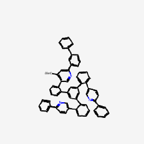 COc1cc(-c2cccc(-c3ccccc3)c2)ncc1-c1ccccc1-c1cc(-c2ccccc2-c2ccc(-c3ccccc3)nc2)cc(-c2ccccc2-c2ccc(-c3ccccc3)nc2)c1